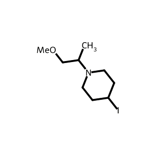 COCC(C)N1CCC(I)CC1